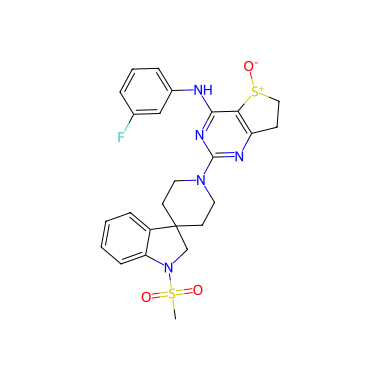 CS(=O)(=O)N1CC2(CCN(c3nc4c(c(Nc5cccc(F)c5)n3)[S+]([O-])CC4)CC2)c2ccccc21